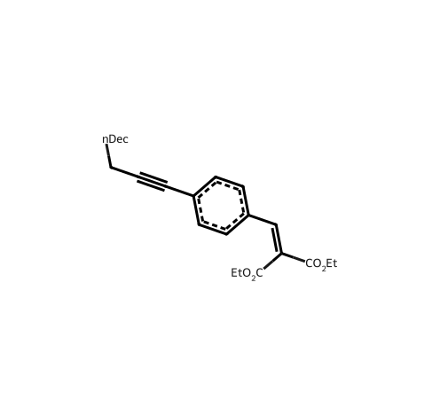 CCCCCCCCCCCC#Cc1ccc(C=C(C(=O)OCC)C(=O)OCC)cc1